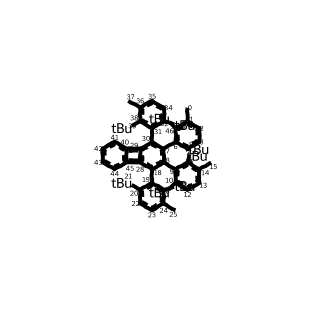 Cc1ccc(C(C)(C)C)c(-c2c(-c3c(C(C)(C)C)ccc(C)c3C(C)(C)C)c(-c3c(C(C)(C)C)ccc(C)c3C(C)(C)C)c3c(c2-c2c(C(C)(C)C)ccc(C)c2C(C)(C)C)=c2ccccc2=3)c1C(C)(C)C